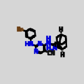 N#Cc1cnc(Nc2cccc(Br)c2)nc1NC[C@]12CC3C[C@H](C1)[C@@H](N)[C@@H](C3)C2